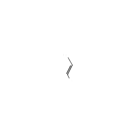 B/C=C/O